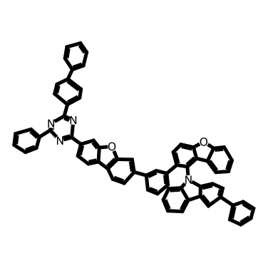 c1ccc(-c2ccc(-c3nc(-c4ccccc4)nc(-c4ccc5c(c4)oc4cc(-c6cccc(-c7ccc8oc9ccccc9c8c7-n7c8ccccc8c8cc(-c9ccccc9)ccc87)c6)ccc45)n3)cc2)cc1